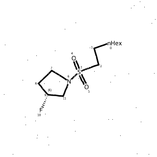 CCCCCCCCS(=O)(=O)N1CC[C@@H](F)C1